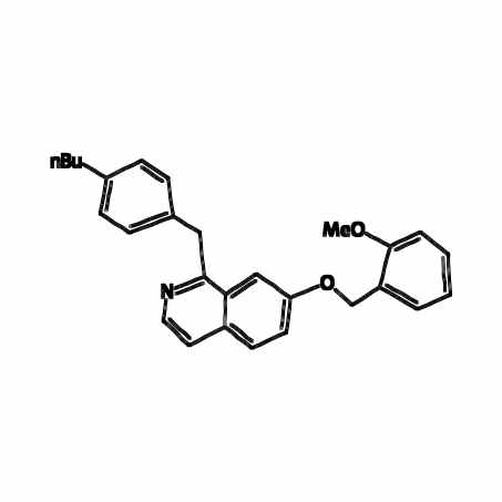 CCCCc1ccc(Cc2nccc3ccc(OCc4ccccc4OC)cc23)cc1